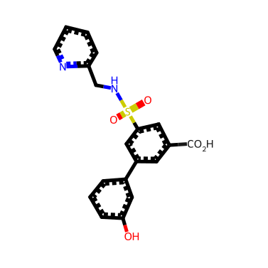 O=C(O)c1cc(-c2cccc(O)c2)cc(S(=O)(=O)NCc2ccccn2)c1